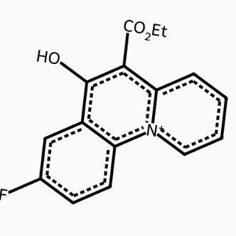 CCOC(=O)c1c(O)c2cc(F)ccc2[n+]2ccccc12